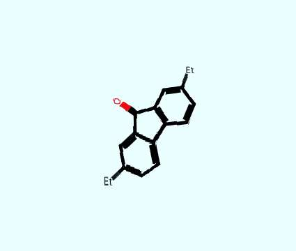 CCc1ccc2c(c1)C(=O)c1cc(CC)ccc1-2